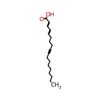 CCCCCCCCC#CCCCC=CC=CC(=O)O